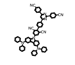 N#Cc1ccc(-c2cc(-c3ccc(-c4c(C#N)cc(-n5c6ccc(N(c7ccccc7)c7ccccc7)cc6c6cc(N(c7ccccc7)c7ccccc7)ccc65)cc4C#N)cc3)nc(-c3ccc(C#N)cc3)n2)cc1